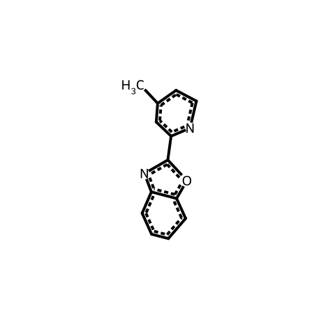 Cc1ccnc(-c2nc3ccccc3o2)c1